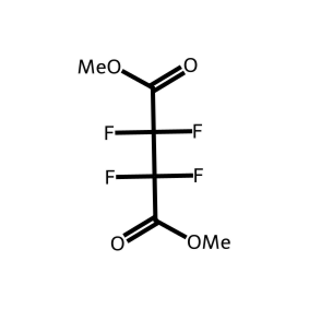 COC(=O)C(F)(F)C(F)(F)C(=O)OC